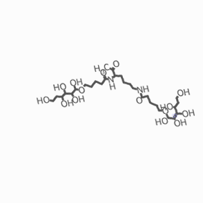 CC(=O)C(CCCCNC(=O)CCCCOC(O)/C(O)=C(/O)C(O)CCO)NC(=O)CCCCOC(O)C(O)C(O)C(O)CCO